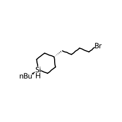 CCCC[Si@H]1CC[C@H](CCCCBr)CC1